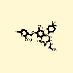 Cc1ccc(COc2cc3c(cc2C(F)(F)F)N(C2CCC(F)(F)CC2)C[C@@H](CCC(F)(F)F)N(C)S3(=O)=O)c(C(=O)O)n1